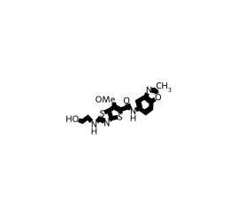 COC1=C(C(=O)Nc2ccc3oc(C)nc3c2)SC2N=C(NCCO)SC12